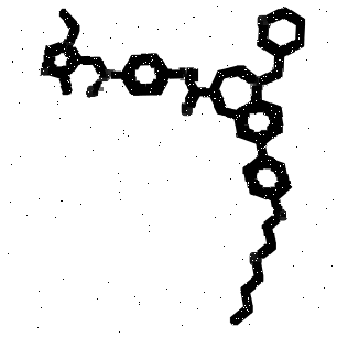 CCCCOCCOc1ccc(-c2ccc3c(c2)C=C(C(=O)Nc2ccc([S@+]([O-])Cc4c(C)ncn4CC)cc2)CCN3CC2CCCOC2)cc1